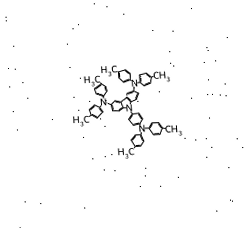 Cc1ccc(N(c2ccc(C)cc2)c2ccc(-n3c4ccc(N(c5ccc(C)cc5)c5ccc(C)cc5)cc4c4cc(N(c5ccc(C)cc5)c5ccc(C)cc5)ccc43)cc2)cc1